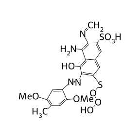 C=Nc1c(S(=O)(=O)O)cc2cc(SOOO)c(N=Nc3cc(OC)c(C)cc3OC)c(O)c2c1N